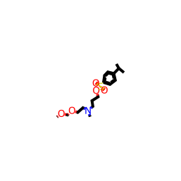 COCOCCN(C)CCCOS(=O)(=O)c1ccc(C(C)C)cc1